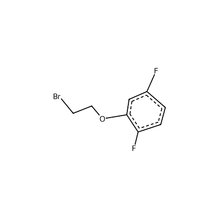 Fc1ccc(F)c(OCCBr)c1